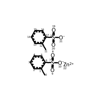 Cc1ccccc1S(=O)(=O)[O-].Cc1ccccc1S(=O)(=O)[O-].[Zn+2]